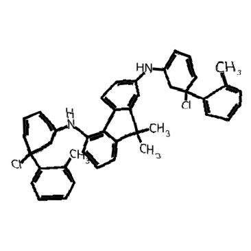 Cc1ccccc1C1(Cl)C=CC=C(Nc2ccc3c(c2)C(C)(C)c2cccc(NC4=CC=CC(Cl)(c5ccccc5C)C4)c2-3)C1